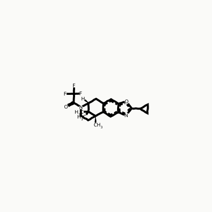 CC1(C)[C@H]2Cc3cc4oc(C5CC5)nc4cc3[C@]1(C)CCN2C(=O)C(F)(F)F